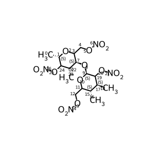 C[C@@H]1OC(CO[N+](=O)[O-])[C@@H](O[C@@H]2OC(CO[N+](=O)[O-])[C@@H](C)[C@H](C)C2O[N+](=O)[O-])[C@H](C)C1O[N+](=O)[O-]